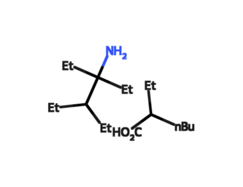 CCC(CC)C(N)(CC)CC.CCCCC(CC)C(=O)O